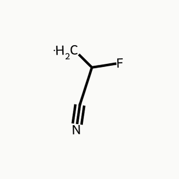 [CH2]C(F)C#N